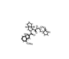 COc1cccc2[nH]c(C(=O)N3C[C@H]4CCC[C@H]4C3C(=O)N[C@H](C#N)C[C@@H]3CCNC3=O)cc12